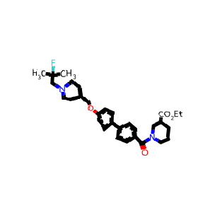 CCOC(=O)C1CCCN(C(=O)c2ccc(-c3ccc(OCC4CCN(CC(C)(C)F)CC4)cc3)cc2)C1